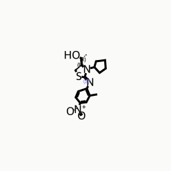 Cc1cc([N+](=O)[O-])ccc1/N=C1\SC[C@@H]([C@@H](C)O)N1C1CCCC1